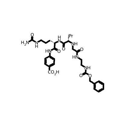 CC(C)[C@H](NCC(=O)NCCNC(=O)OCc1ccccc1)C(=O)N[C@@H](CCCNC(N)=O)C(=O)Nc1ccc(C(=O)O)cc1